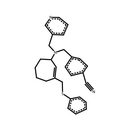 N#Cc1ccc(CN(Cc2cccnc2)C2C=C(CSc3ccccc3)CCCC2)cc1